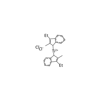 CCC1=C(C)[CH]([Ti+2][CH]2C(C)=C(CC)c3ccccc32)c2ccccc21.[Cl-].[Cl-]